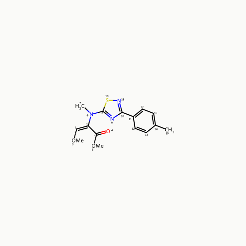 COC=C(C(=O)OC)N(C)c1nc(-c2ccc(C)cc2)ns1